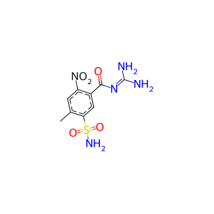 Cc1cc([N+](=O)[O-])c(C(=O)N=C(N)N)cc1S(N)(=O)=O